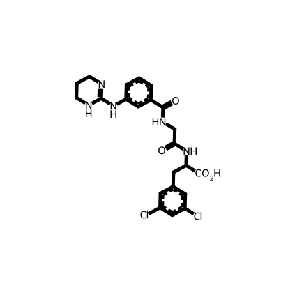 O=C(CNC(=O)c1cccc(NC2=NCCCN2)c1)NC(Cc1cc(Cl)cc(Cl)c1)C(=O)O